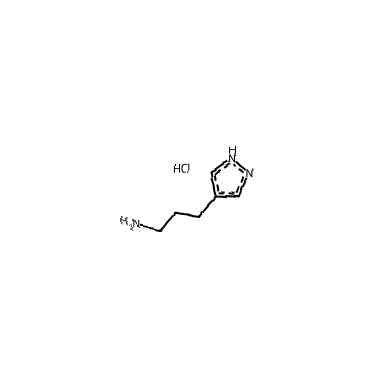 Cl.NCCCc1cn[nH]c1